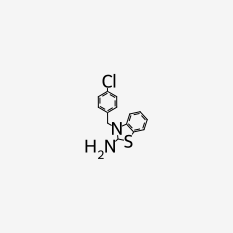 NC1Sc2ccccc2N1Cc1ccc(Cl)cc1